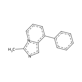 Cc1ncc2c(-c3ccccc3)cccn12